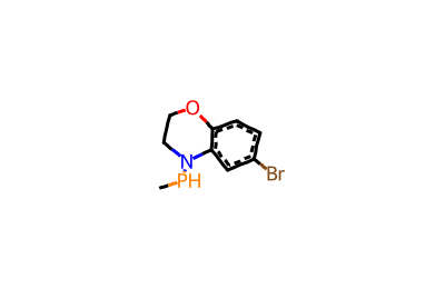 CPN1CCOc2ccc(Br)cc21